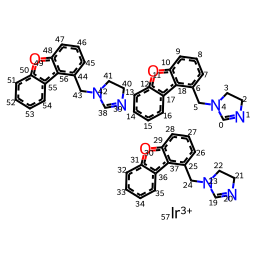 C1=NCCN1Cc1cccc2oc3ccccc3c12.C1=NCCN1Cc1cccc2oc3ccccc3c12.C1=NCCN1Cc1cccc2oc3ccccc3c12.[Ir+3]